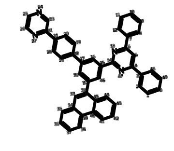 c1ccc(-c2cc(-c3ccccc3)nc(-c3cc(-c4ccc(-c5cnccn5)cc4)cc(-c4cc5ccccc5c5ccccc45)c3)n2)cc1